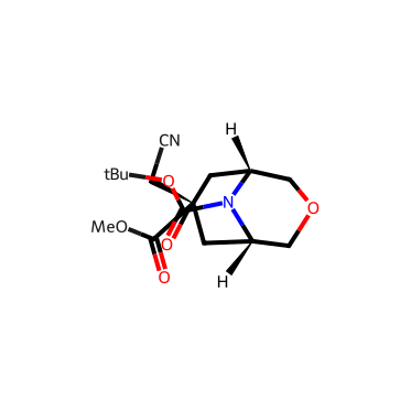 COC(=O)[C@@]1(CC#N)C[C@H]2COC[C@@H](C1)N2C(=O)OC(C)(C)C